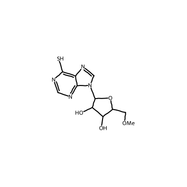 COCC1OC(n2cnc3c(S)ncnc32)C(O)C1O